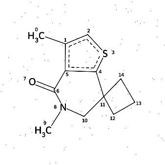 Cc1csc2c1C(=O)N(C)CC21CCC1